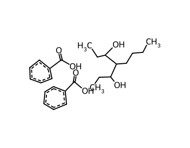 CCCCC(C(O)CC)C(O)CC.O=C(O)c1ccccc1.O=C(O)c1ccccc1